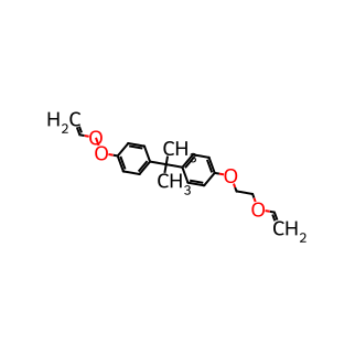 C=COCCOc1ccc(C(C)(C)c2ccc(OOC=C)cc2)cc1